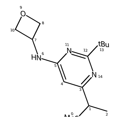 CSC(C)c1cc(NC2COC2)nc(C(C)(C)C)n1